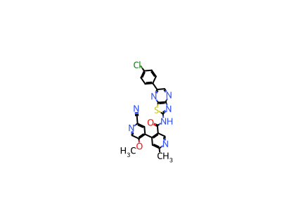 COc1cnc(C#N)cc1-c1cc(C)ncc1C(=O)Nc1nc2ncc(-c3ccc(Cl)cc3)nc2s1